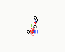 O=C(Cc1ccc(OCc2ccc3ccccc3n2)c(F)c1)NS(=O)(=O)Cc1ccccc1